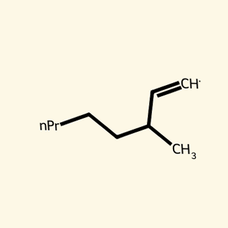 [CH]=CC(C)CCCCC